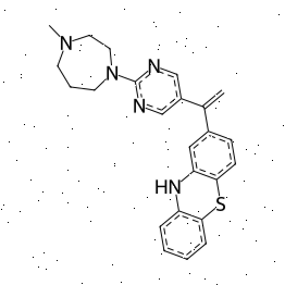 C=C(c1cnc(N2CCCN(C)CC2)nc1)c1ccc2c(c1)Nc1ccccc1S2